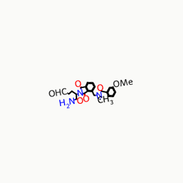 COc1cccc(C(=O)N(C)Cc2cccc3c2C(=O)N(C(CCC=O)C(N)=O)C3=O)c1